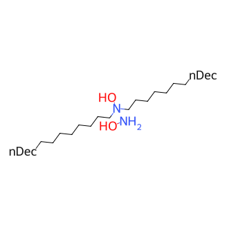 CCCCCCCCCCCCCCCCCCN(O)CCCCCCCCCCCCCCCCC.NO